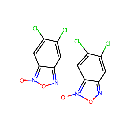 [O-][n+]1onc2cc(Cl)c(Cl)cc21.[O-][n+]1onc2cc(Cl)c(Cl)cc21